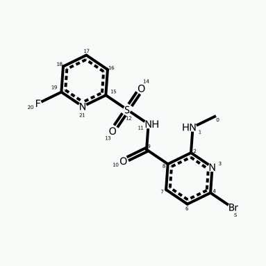 CNc1nc(Br)ccc1C(=O)NS(=O)(=O)c1cccc(F)n1